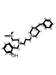 CN(C)CCN(CCCN1CCC(Cc2ccccc2)CC1)Cc1ccccc1O